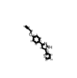 C#CCOc1ccc(C2=NNC(c3cccs3)C2)cc1